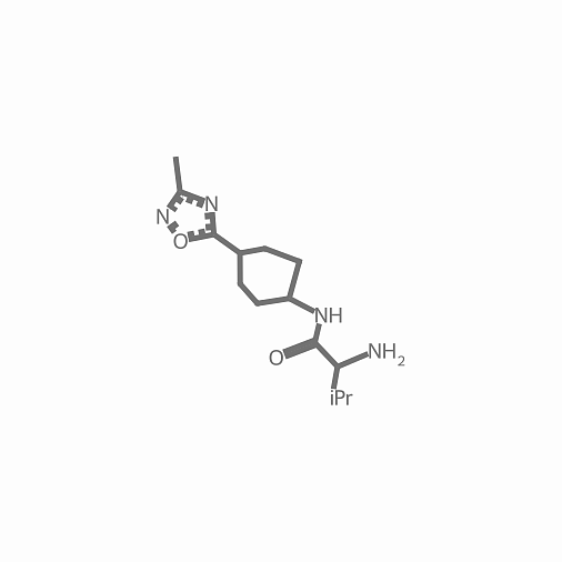 Cc1noc(C2CCC(NC(=O)C(N)C(C)C)CC2)n1